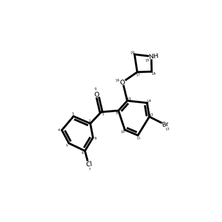 O=C(c1cccc(Cl)c1)c1ccc(Br)cc1OC1CNC1